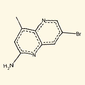 Cc1cc(N)nc2cc(Br)cnc12